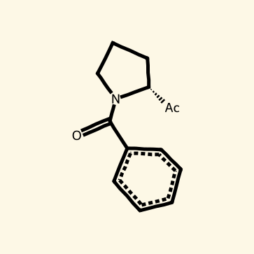 CC(=O)[C@H]1CCCN1C(=O)c1ccccc1